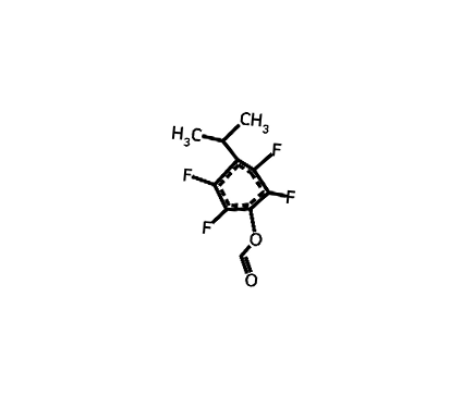 CC(C)c1c(F)c(F)c(OC=O)c(F)c1F